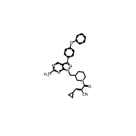 N#CC(=CC1CC1)C(=O)N1CCCC(Cn2nc(-c3ccc(Oc4ccccc4)cc3)c3cnc(N)nc32)C1